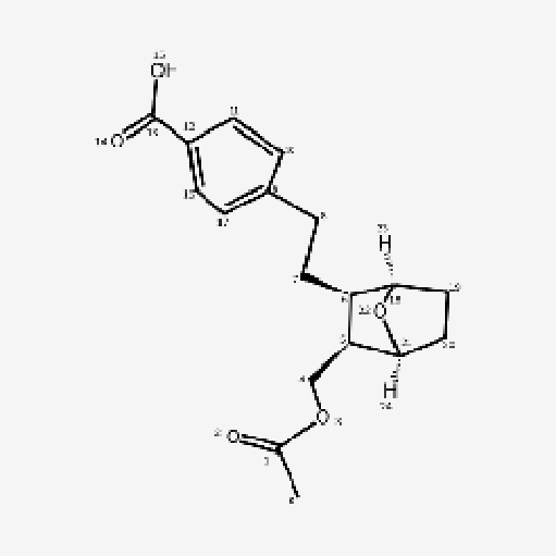 CC(=O)OC[C@H]1[C@@H](CCc2ccc(C(=O)O)cc2)[C@H]2CC[C@@H]1O2